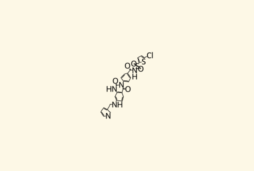 O=C(NS(=O)(=O)c1ccc(Cl)s1)c1ccc(-n2c(=O)[nH]c3cc(NCc4cccnc4)ccc3c2=O)cc1